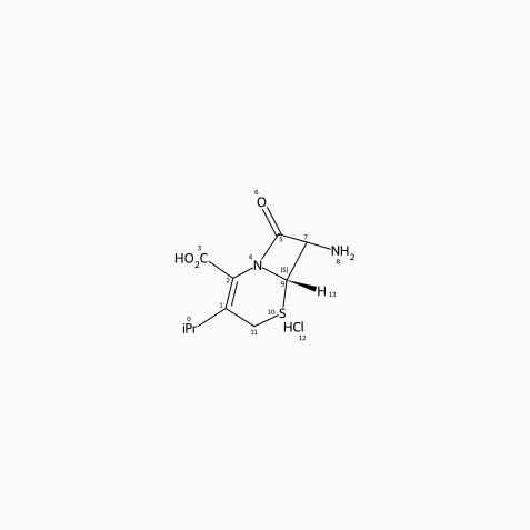 CC(C)C1=C(C(=O)O)N2C(=O)C(N)[C@@H]2SC1.Cl